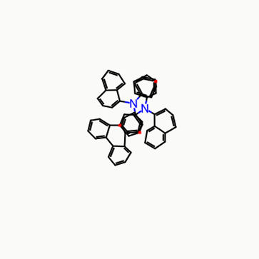 C1=CC(N(c2ccccc2)c2cccc3ccccc23)(N(c2ccccc2)c2cccc3ccccc23)CC(c2ccccc2-c2ccccc2-c2ccccc2)=C1